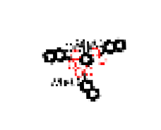 COc1cc2ccccc2cc1C(=O)Oc1cc(OC(=O)c2cc3ccccc3cc2OC)cc(OC(=O)c2cc3ccccc3cc2OC)c1